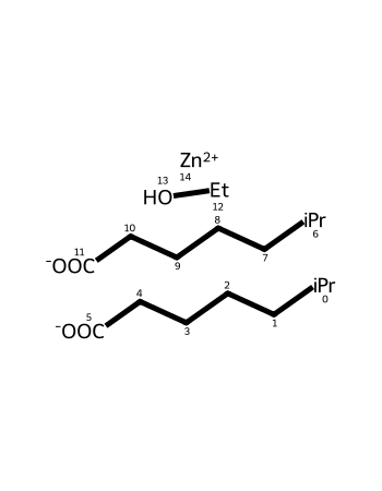 CC(C)CCCCC(=O)[O-].CC(C)CCCCC(=O)[O-].CCO.[Zn+2]